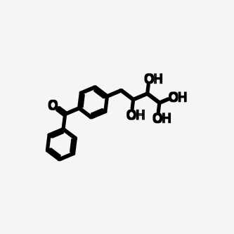 O=C(c1ccccc1)c1ccc(CC(O)C(O)C(O)O)cc1